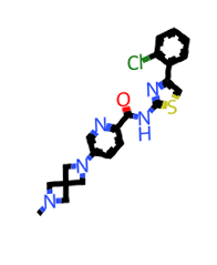 CN1CC2(C1)CN(c1ccc(C(=O)Nc3nc(-c4ccccc4Cl)cs3)nc1)C2